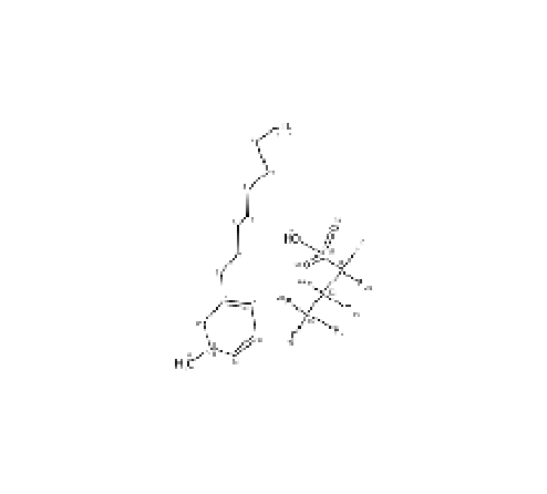 CCCCCCCCC1=CC=CN(C)C1.O=S(=O)(O)C(F)(F)C(F)(F)C(F)(F)F